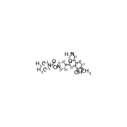 CCN(CC)C(=O)ON1CCC([C@@H]2Cc3c(ccc(C)c3O)[C@H](CN)O2)CC1